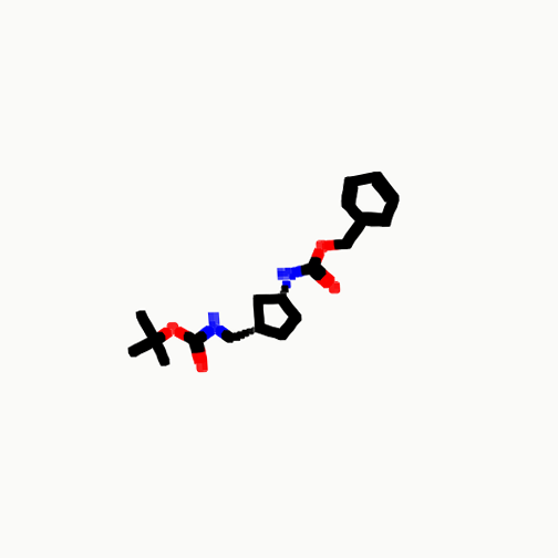 CC(C)(C)OC(=O)NC[C@H]1CC[C@@H](NC(=O)OCc2ccccc2)C1